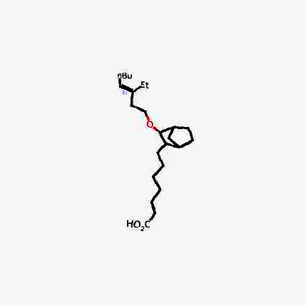 CCCC/C=C(\CC)CCOC1C2CCC(C2)C1CCCCCCC(=O)O